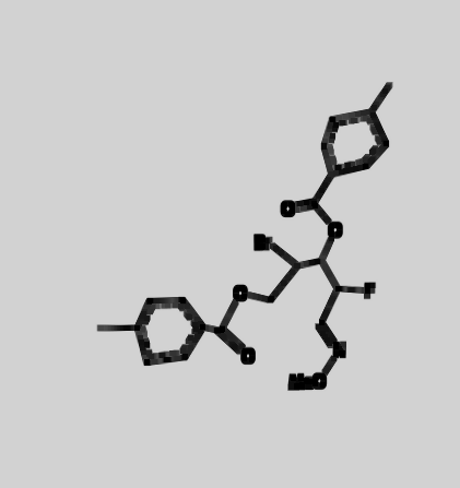 CON=CC(F)C(OC(=O)c1ccc(C)cc1)C(Br)COC(=O)c1ccc(C)cc1